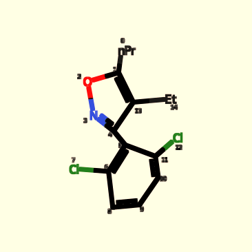 CCCc1onc(-c2c(Cl)cccc2Cl)c1CC